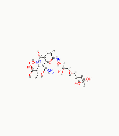 CCC(CC(CC(CC(C)C(=O)NOCC(O)COCCC[Si](C)(O)O)C(=O)NO)C(N)=O)C(=O)O